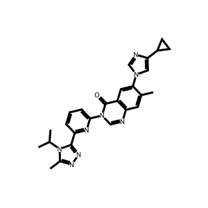 Cc1cc2ncn(-c3cccc(-c4nnc(C)n4C(C)C)n3)c(=O)c2cc1-n1cnc(C2CC2)c1